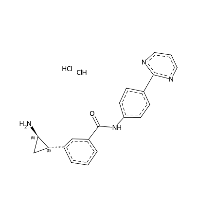 Cl.Cl.N[C@@H]1C[C@H]1c1cccc(C(=O)Nc2ccc(-c3ncccn3)cc2)c1